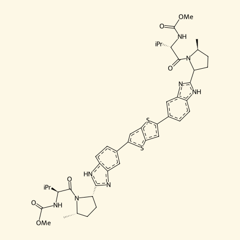 COC(=O)N[C@H](C(=O)N1C(c2nc3cc(-c4cc5sc(-c6ccc7[nH]c([C@@H]8CC[C@H](C)N8C(=O)[C@@H](NC(=O)OC)C(C)C)nc7c6)cc5s4)ccc3[nH]2)CC[C@@H]1C)C(C)C